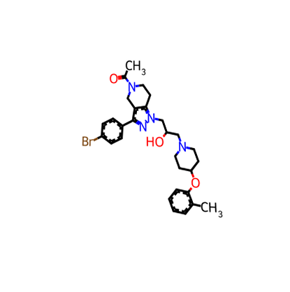 CC(=O)N1CCc2c(c(-c3ccc(Br)cc3)nn2CC(O)CN2CCC(Oc3ccccc3C)CC2)C1